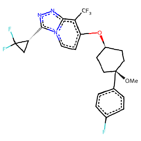 CO[C@]1(c2ccc(F)cc2)CC[C@H](Oc2ccn3c([C@@H]4CC4(F)F)nnc3c2C(F)(F)F)CC1